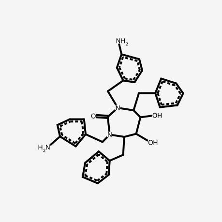 Nc1cccc(CN2C(=O)N(Cc3cccc(N)c3)C(Cc3ccccc3)C(O)C(O)C2Cc2ccccc2)c1